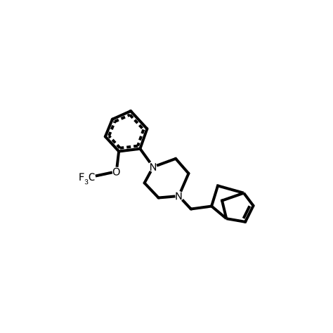 FC(F)(F)Oc1ccccc1N1CCN(CC2CC3C=CC2C3)CC1